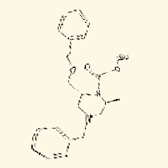 C[C@H]1CN(Cc2ccccc2)C[C@H](COCc2ccccc2)N1C(=O)OC(C)(C)C